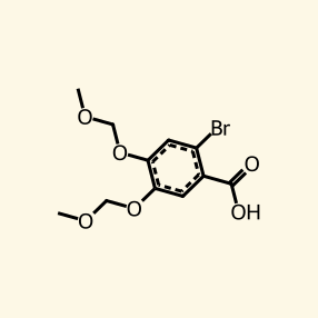 COCOc1cc(Br)c(C(=O)O)cc1OCOC